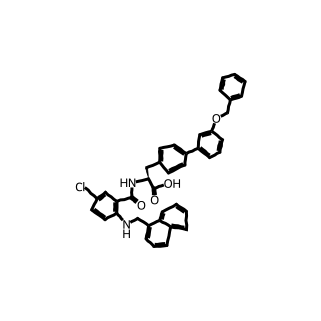 O=C(N[C@@H](Cc1ccc(-c2cccc(OCc3ccccc3)c2)cc1)C(=O)O)c1cc(Cl)ccc1NCc1cccc2ccccc12